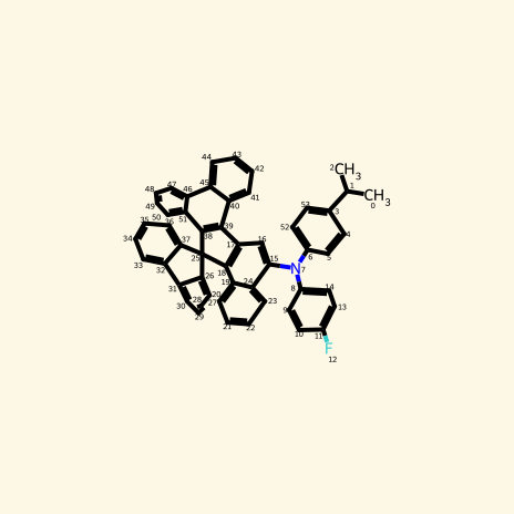 CC(C)c1ccc(N(c2ccc(F)cc2)c2cc3c(c4ccccc24)C2(c4ccccc4-c4ccccc42)c2c-3c3ccccc3c3ccccc23)cc1